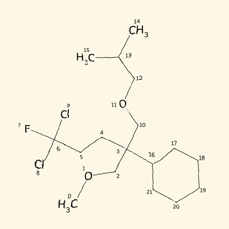 COCC(CCC(F)(Cl)Cl)(COCC(C)C)C1CCCCC1